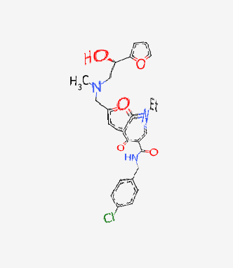 CCn1cc(C(=O)NCc2ccc(Cl)cc2)c(=O)c2cc(CN(C)C[C@@H](O)c3ccco3)oc21